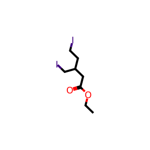 CCOC(=O)CC(CI)CCI